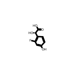 O=C(O)[C@H](O)c1ccc(O)cc1F